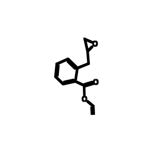 C=COC(=O)c1ccccc1CC1CO1